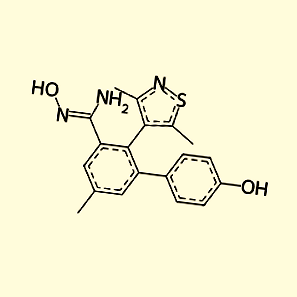 Cc1cc(/C(N)=N/O)c(-c2c(C)nsc2C)c(-c2ccc(O)cc2)c1